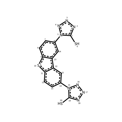 Sc1nnnn1-c1ccc2sc3ccc(-n4nnnc4S)cc3c2c1